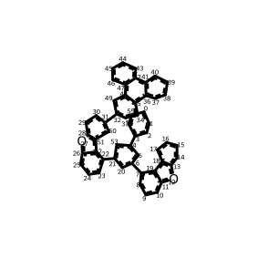 c1ccc(-c2cc(-c3cccc4oc5ccccc5c34)cc(-c3cccc4oc5ccc(-c6ccc7c8ccccc8c8ccccc8c7c6)cc5c34)c2)cc1